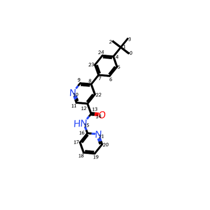 CC(C)(C)c1ccc(-c2cncc(C(=O)Nc3ccccn3)c2)cc1